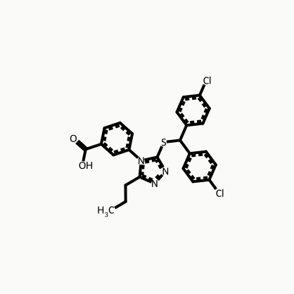 CCCc1nnc(SC(c2ccc(Cl)cc2)c2ccc(Cl)cc2)n1-c1cccc(C(=O)O)c1